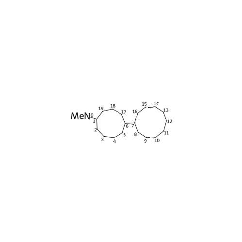 CNC1CCCCC(C2CCCCCCCCC2)CCC1